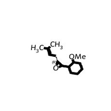 COC1CCCCC1C1O[C@@H]1CC=C(C)C